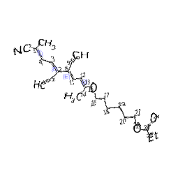 C#CC(=C\C=C(/C)C#N)/C(C#C)=C/C=C(\C)OCCCCCCOC(=O)CC